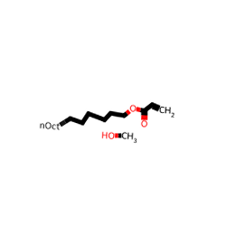 C=CC(=O)OCCCCCCCCCCCCCC.CO